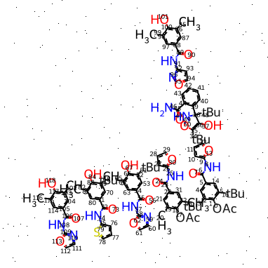 CC(=O)Oc1c(C(C)(C)C)cc(C(=O)Nc2ccco2)cc1C(C)(C)C.CC(=O)Oc1c(C)cc(C(=O)Nc2ccco2)cc1C.CC(C)(C)C1=C(O)C(c2ccccc2C(N)=O)(C(C)(C)C)NO1.CC(C)(C)c1cc(C(=O)Nc2ncco2)cc(C(C)(C)C)c1O.Cc1cc(C(=O)Nc2cccs2)cc(C)c1O.Cc1cc(C(=O)Nc2ccon2)cc(C)c1O.Cc1cc(C(=O)Nc2ncco2)cc(C)c1O